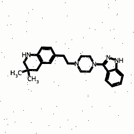 CC1(C)CNc2ccc(CCN3CCN(c4n[nH]c5ccccc45)CC3)cc2C1